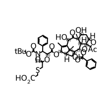 CC(=O)O[C@@]12CO[C@@H]1C[C@H](O)[C@@]1(C)C(=O)[C@H](O)C3=C(C)[C@@H](OC(=O)[C@H](OC(=O)CSCC(=O)O)C(NC(=O)OC(C)(C)C)c4ccccc4)[C@H]4C[C@@](O)([C@@H](OC(=O)c5ccccc5)[C@H]21)[C@@]34C